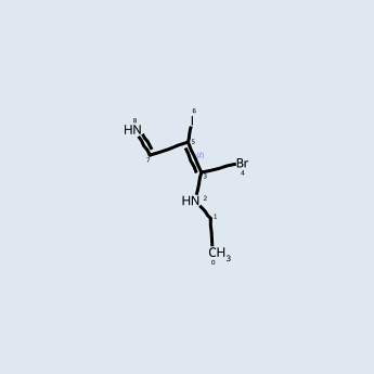 CCN/C(Br)=C(/I)C=N